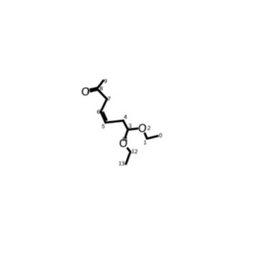 CCOC(C/C=C\CC(C)=O)OCC